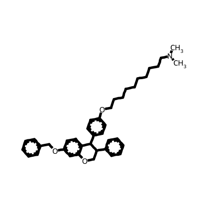 CN(C)CCCCCCCCCCOc1ccc(C2c3ccc(OCc4ccccc4)cc3OCC2c2ccccc2)cc1